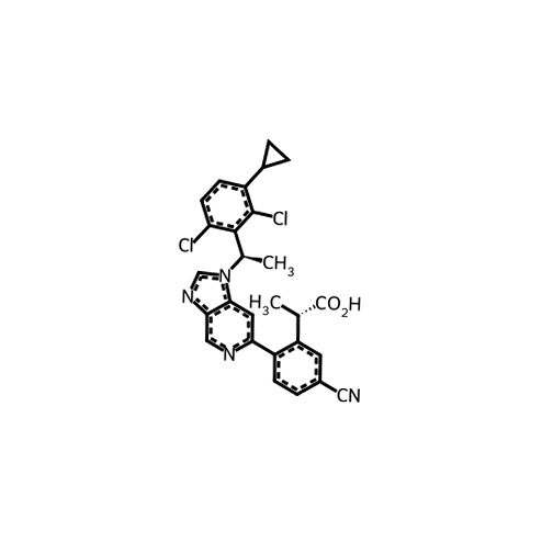 C[C@H](C(=O)O)c1cc(C#N)ccc1-c1cc2c(cn1)ncn2[C@H](C)c1c(Cl)ccc(C2CC2)c1Cl